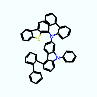 c1ccc(-c2ccccc2-c2cccc3c2c2ccc(N(c4ccccc4-c4ccccc4)c4cccc5c4sc4ccccc45)cc2n3-c2ccccc2)cc1